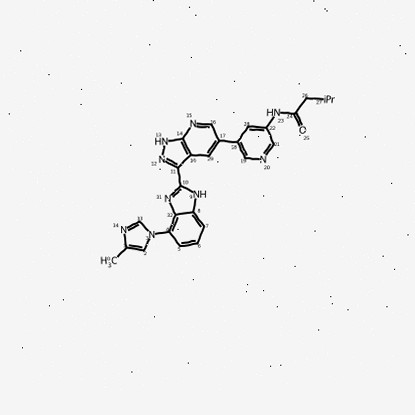 Cc1cn(-c2cccc3[nH]c(-c4n[nH]c5ncc(-c6cncc(NC(=O)CC(C)C)c6)cc45)nc23)cn1